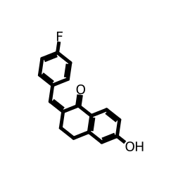 O=C1C(=Cc2ccc(F)cc2)CCc2cc(O)ccc21